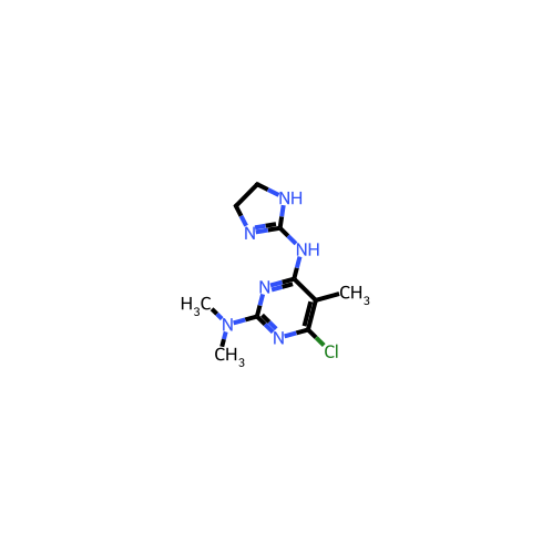 Cc1c(Cl)nc(N(C)C)nc1NC1=NCCN1